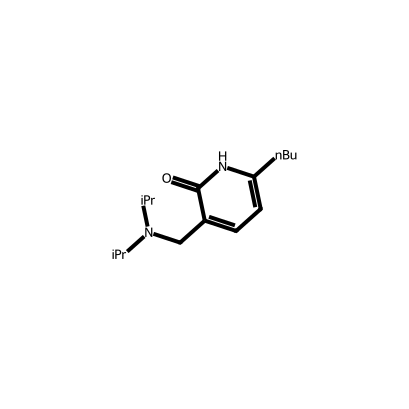 CCCCc1ccc(CN(C(C)C)C(C)C)c(=O)[nH]1